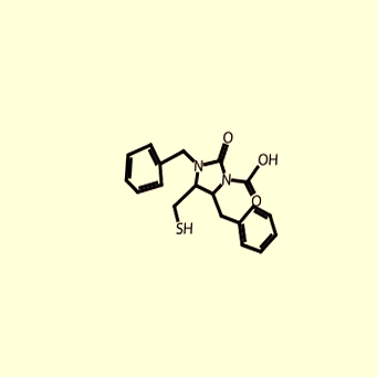 O=C(O)N1C(=O)N(Cc2ccccc2)C(CS)C1Cc1ccccc1